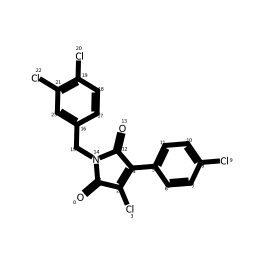 O=C1C(Cl)=C(c2ccc(Cl)cc2)C(=O)N1Cc1ccc(Cl)c(Cl)c1